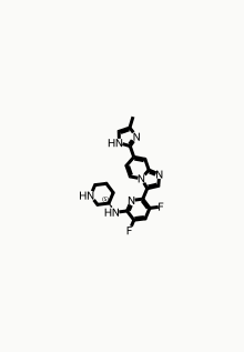 Cc1c[nH]c(-c2ccn3c(-c4nc(N[C@H]5CCCNC5)c(F)cc4F)cnc3c2)n1